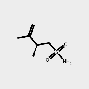 C=C(C)[C@H](C)CS(N)(=O)=O